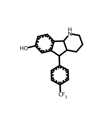 Oc1ccc2c(c1)C(c1ccc(C(F)(F)F)cc1)C1CCCNC21